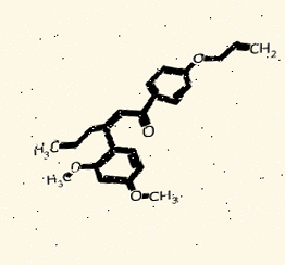 C=CCOc1ccc(C(=O)C=C(CCC)c2ccc(OC)cc2OC)cc1